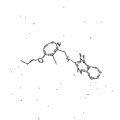 CCCOc1ccnc(CSc2nc3ccccc3[nH]2)c1C